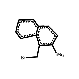 CCCCc1ccc2ccccc2c1CBr